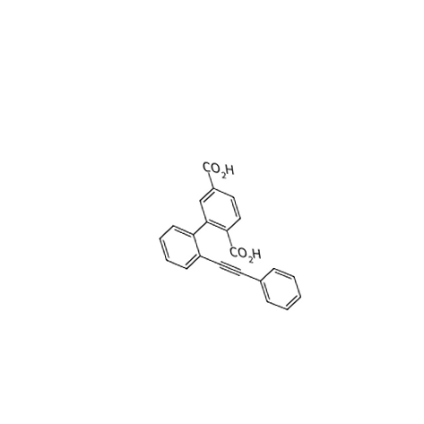 O=C(O)c1ccc(C(=O)O)c(-c2ccccc2C#Cc2ccccc2)c1